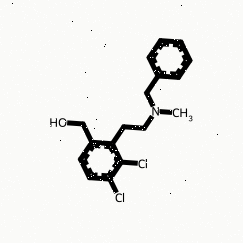 CN(CCc1c(CO)ccc(Cl)c1Cl)Cc1ccccc1